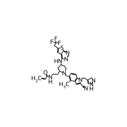 C=CC(=O)NCCC1CC(Nc2ncnc3sc(CC(F)(F)F)cc23)CCN1Cc1ccc2c(cc(C#N)n2Cc2cn[nH]c2)c1C